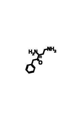 NCC[C@H](N)C(=O)Cc1ccccc1